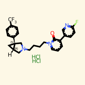 Cl.Cl.O=c1c(-c2ccc(F)nc2)cccn1CCCCN1C[C@@H]2C[C@]2(c2ccc(C(F)(F)F)cc2)C1